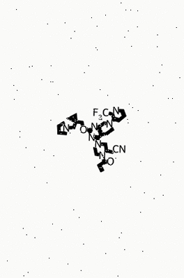 C=CC(=O)N1CCN(c2nc(OCC3(CN4CCCC4)CC3)nc3c2CCN(c2cccnc2C(F)(F)F)C3)CC1CC#N